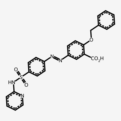 O=C(O)c1cc(/N=N/c2ccc(S(=O)(=O)Nc3ccccn3)cc2)ccc1OCc1ccccc1